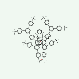 CCC1([Si](c2ccccc2)(c2ccccc2)C2(CC)c3cc(-c4cc(-c5ccc(C(C)(C)C)cc5)cc(-c5ccc(C(C)(C)C)cc5)c4)ccc3-c3ccc(-c4cc(-c5ccc(C(C)(C)C)cc5)cc(-c5ccc(C(C)(C)C)cc5)c4)cc32)c2cc(-c3cc(-c4ccc(C(C)(C)C)cc4)cc(-c4ccc(C(C)(C)C)cc4)c3)ccc2-c2ccc(-c3cc(-c4ccc(C(C)(C)C)cc4)cc(-c4ccc(C(C)(C)C)cc4)c3)cc21